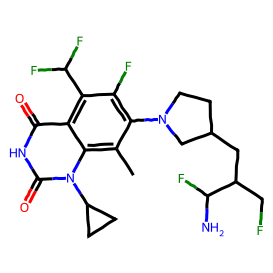 Cc1c(N2CCC(CC(CF)C(N)F)C2)c(F)c(C(F)F)c2c(=O)[nH]c(=O)n(C3CC3)c12